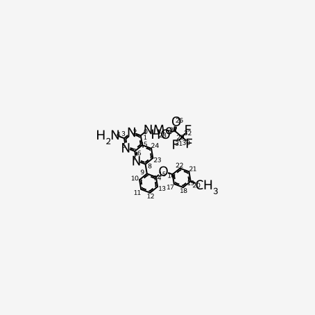 CNc1nc(N)nc2nc(-c3ccccc3Oc3ccc(C)cc3)ccc12.O=C(O)C(F)(F)F